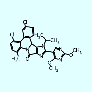 COc1ncc(-c2nc3c(n2C(C)C)C2c4ccc(Cl)cc4-c4c(Cl)ccc(C)c4N2C3=O)c(OC)n1